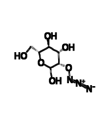 [N-]=[N+]=NO[C@@H]1C(O)O[C@H](CO)[C@@H](O)[C@@H]1O